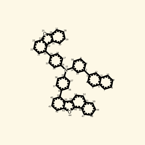 c1cc(-c2ccc3ccccc3c2)cc(N(c2ccc(-c3cccc4oc5ccccc5c34)cc2)c2ccc(-c3cccc4oc5c6ccccc6ccc5c34)cc2)c1